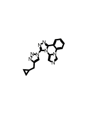 c1ccc2c(c1)c1nnc(-n3cc(CC4CC4)nn3)n1c1cncn21